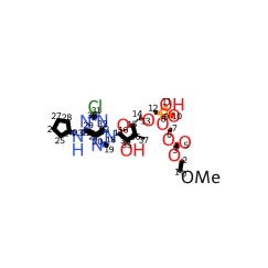 COCCOC(=O)OCOP(=O)(O)COC[C@H]1O[C@@H](n2cnc3c(NC4CCCC4)nc(Cl)nc32)[C@H](O)[C@@H]1C